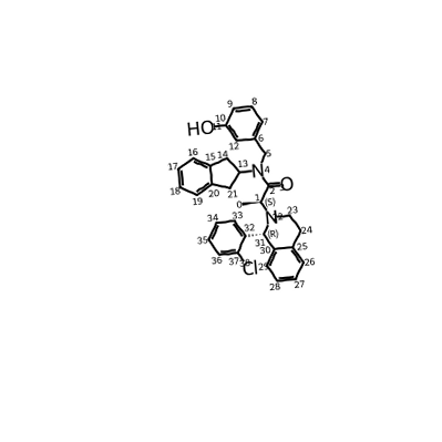 C[C@@H](C(=O)N(Cc1cccc(O)c1)C1Cc2ccccc2C1)N1CCc2ccccc2[C@@H]1c1ccccc1Cl